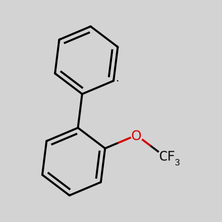 FC(F)(F)Oc1ccccc1-c1[c]cccc1